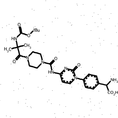 CC(C)(C)OC(=O)NC(C)(C)C(=O)N1CCN(C(=O)Nc2ccn(-c3ccc(C(N)C(=O)O)cc3)c(=O)n2)CC1